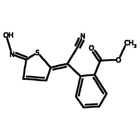 COC(=O)c1ccccc1C(C#N)=C1C=CC(=NO)S1